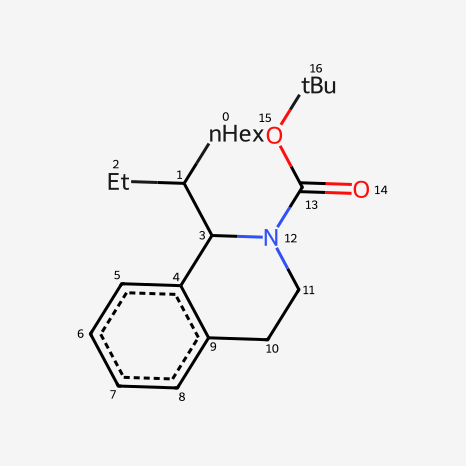 CCCCCCC(CC)C1c2ccccc2CCN1C(=O)OC(C)(C)C